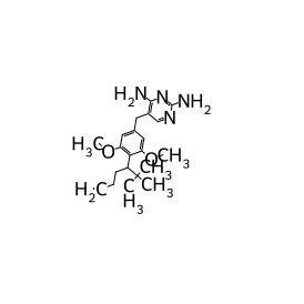 [CH2]CCC(c1c(OC)cc(Cc2cnc(N)nc2N)cc1OC)C(C)(C)C